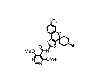 COc1ncnc(OC)c1C(=O)Nc1nc2c(s1)C1(CCN(C(C)C)CC1)Oc1cc(C(F)(F)F)ccc1-2